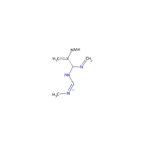 C=NC(N/C=N\C)C(=C)NC